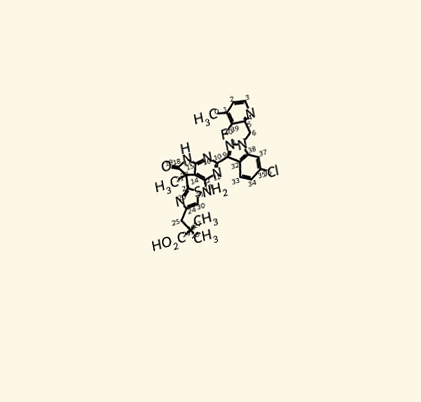 Cc1ccnc(Cn2nc(-c3nc(N)c4c(n3)NC(=O)C4(C)c3nc(CC(C)(C)C(=O)O)cs3)c3ccc(Cl)cc32)c1F